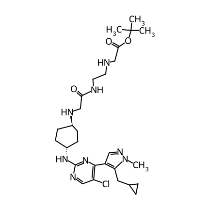 Cn1ncc(-c2nc(N[C@H]3CC[C@H](NCC(=O)NCCNCC(=O)OC(C)(C)C)CC3)ncc2Cl)c1CC1CC1